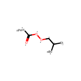 CCCCCC(=O)OOCC(CC)CCCC